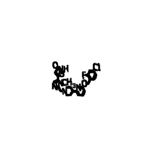 Cn1c(-c2cc(=O)[nH]o2)cnc1CN1CCC(c2cccc(OCc3ccc(Cl)cc3F)n2)CC1